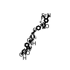 C[C@@H]1CN(CCO[C@H]2CC[C@H](N3C(=S)N(c4ccc(C#N)c(C(F)(F)F)c4)C(=O)C3(C)C)CC2)C[C@H](C)N1CC(=O)Nc1cccc2c(N3CCC(=O)NC3=O)nn(C)c12